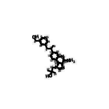 CC(Cc1cncc(CO)c1)c1ccc2c(c1)nc(N)c1ncn(CC(C)(C)O)c12